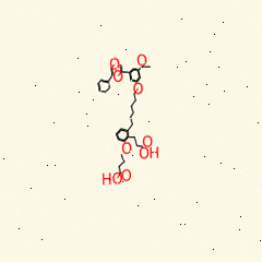 CC(=O)c1cc(OCCCCCCc2cccc(OCCCC(=O)O)c2CCC(=O)O)cc(C2=COC=C(C3=CC=CCC3)O2)c1